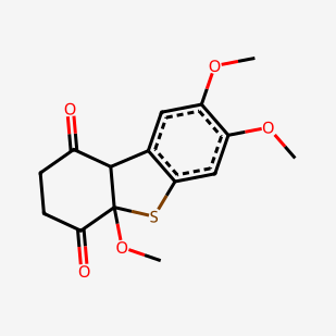 COc1cc2c(cc1OC)C1C(=O)CCC(=O)C1(OC)S2